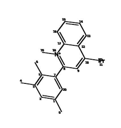 Cc1cc(C)c(C)c(-c2cc(C(C)C)c3ccccc3[n+]2C)c1